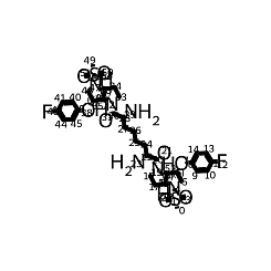 CS(=O)(=O)N1C[C@H](Oc2ccc(F)cc2)[C@@H]2[C@H]1CCN2C(=O)C(N)CCCCC(N)C(=O)N1CC[C@@H]2[C@H]1[C@@H](Oc1ccc(F)cc1)CN2S(C)(=O)=O